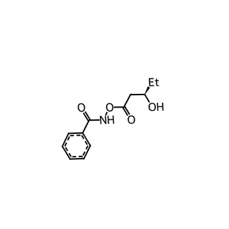 CC[C@@H](O)CC(=O)ONC(=O)c1ccccc1